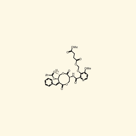 COC(=O)CCC(=O)OCOc1c(OC)ccnc1C(=O)N[C@H]1COC(=O)/C(=C/c2ccccc2)[C@@H](OC(=O)C(C)C)[C@H](C)OC1=O